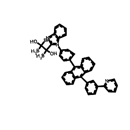 BC(B)(O)C(B)(O)c1nc2ccccc2n1-c1ccc(-c2c3ccccc3c(-c3cccc(-c4ccccn4)c3)c3ccccc23)cc1